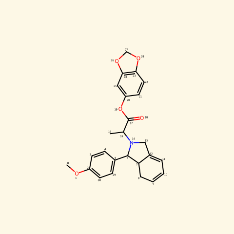 COc1ccc(C2C3CC=CC=C3CN2C(C)C(=O)Oc2ccc3c(c2)OCO3)cc1